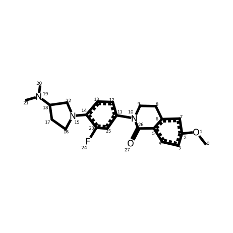 COc1ccc2c(c1)CCN(c1ccc(N3CCC(N(C)C)C3)c(F)c1)C2=O